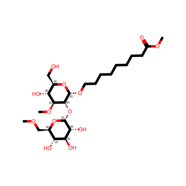 COC[C@H]1O[C@H](O[C@H]2[C@@H](OCCCCCCCCC(=O)OC)O[C@H](CO)[C@@H](O)[C@@H]2OC)[C@H](O)[C@@H](O)[C@@H]1O